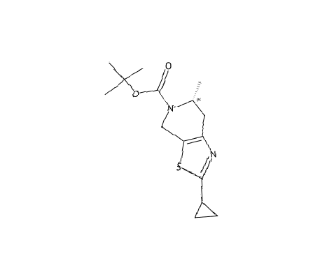 C[C@@H]1Cc2nc(C3CC3)sc2CN1C(=O)OC(C)(C)C